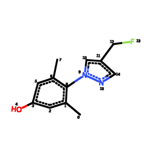 Cc1cc(O)cc(C)c1-n1cc(CF)cn1